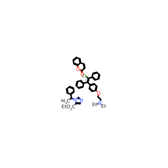 CCN(CC)CCOc1ccc(/C(=C(/Cl)c2ccccc2)c2ccccc2)cc1.CCOC(=O)c1cncn1C(C)c1ccccc1.O=c1ccc2ccccc2o1